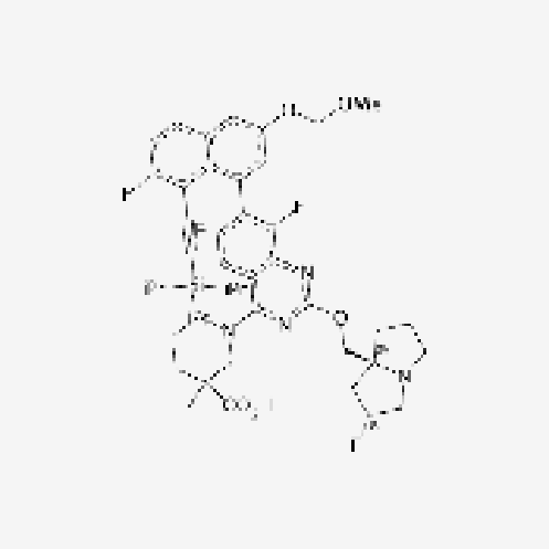 COCOc1cc(-c2c(F)cc3c(N4CCCC(C)(C(=O)O)C4)nc(OC[C@@]45CCCN4C[C@H](F)C5)nc3c2F)c2c(C#C[Si](C(C)C)(C(C)C)C(C)C)c(F)ccc2c1